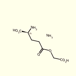 N.N[C@@H](CCC(=O)OCC(=O)O)C(=O)O